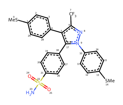 CSc1ccc(-c2c(C(F)(F)F)nn(-c3ccc(SC)cc3)c2-c2ccc(S(N)(=O)=O)cc2)cc1